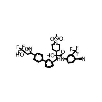 CS(=O)(=O)N1CCC(C(O)(Cc2cccc(-c3ccc(C4=NOC(O)(C(F)(F)F)C4)cc3)c2)C(=O)Nc2ccc(C#N)c(C(F)(F)F)c2)CC1